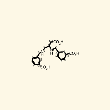 O=C(O)CC(CNCc1cccc(C(=O)O)n1)NCc1cccc(C(=O)O)n1